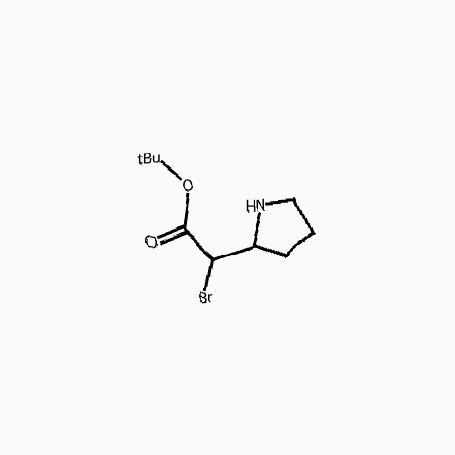 CC(C)(C)OC(=O)C(Br)C1CCCN1